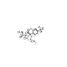 C=CCC1(CC(C)(C)[S+](N)[O-])COCc2nc(C(F)(F)F)ccc21